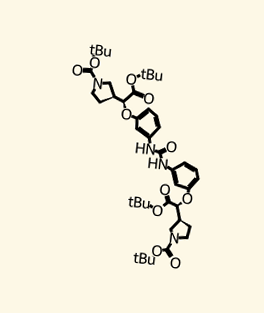 CC(C)(C)OC(=O)[C@@H](Oc1cccc(NC(=O)Nc2cccc(O[C@H](C(=O)OC(C)(C)C)[C@H]3CCN(C(=O)OC(C)(C)C)C3)c2)c1)[C@H]1CCN(C(=O)OC(C)(C)C)C1